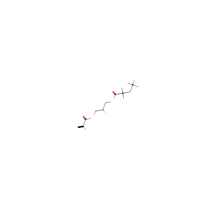 C=C(C)C(=O)OCC(O)COC(=O)C(C)(CC(C)(C)CC)C(C)(C)C